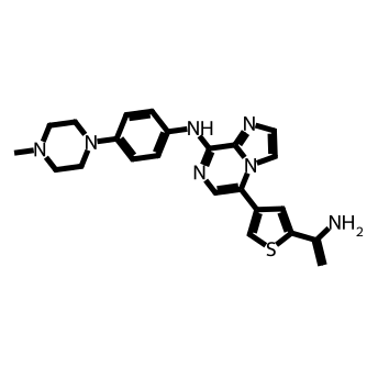 C=C(N)c1cc(-c2cnc(Nc3ccc(N4CCN(C)CC4)cc3)c3nccn23)cs1